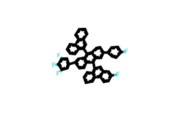 Fc1ccc(-c2ccc3c(-c4cc5ccccc5c5ccccc45)c4cc(-c5cc(F)c(F)c(F)c5)ccc4c(-c4cc5cc(F)ccc5c5ccccc45)c3c2)cc1